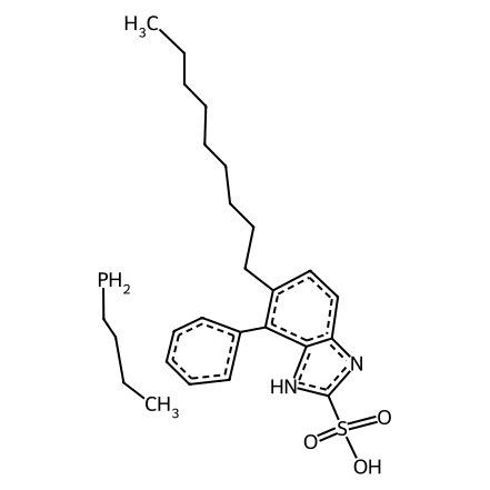 CCCCCCCCCc1ccc2nc(S(=O)(=O)O)[nH]c2c1-c1ccccc1.CCCCP